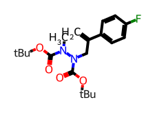 C=C(CN(C(=O)OC(C)(C)C)N(C)C(=O)OC(C)(C)C)c1ccc(F)cc1